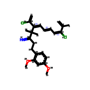 C=C(C)\C(Cl)=C/C=C/C=C(/C(=C)Cl)C(C)(C)C(=N)CCc1ccc(OC)cc1OC